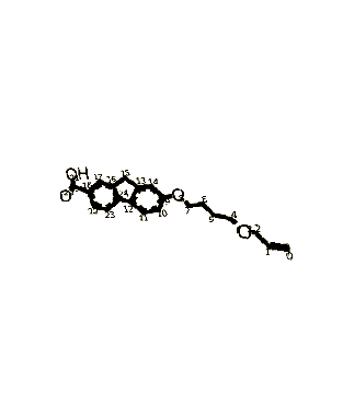 C=CCOCCCCOc1ccc2c(c1)Cc1cc(C(=O)O)ccc1-2